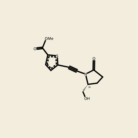 COC(=O)c1ccc(C#CN2C(=O)CC[C@@H]2CO)s1